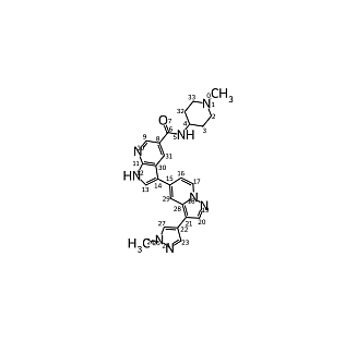 CN1CCC(NC(=O)c2cnc3[nH]cc(-c4ccn5ncc(-c6cnn(C)c6)c5c4)c3c2)CC1